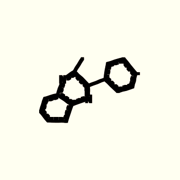 Cc1nc2ccccc2nc1-c1cc[c]cc1